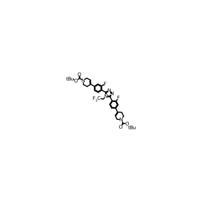 CC(C)(C)OC(=O)N1CC=C(c2ccc(-c3nnc(-c4ccc(C5=CCN(C(=O)OC(C)(C)C)CC5)cc4F)n3CC(F)(F)F)c(F)c2)CC1